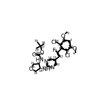 COc1cc(OC)c(Cl)c(/C(F)=C/c2cnc(N[C@@H]3COC[C@@H]3NC(=O)OC(C)(C)C)nc2)c1Cl